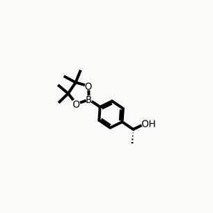 C[C@@H](O)c1ccc(B2OC(C)(C)C(C)(C)O2)cc1